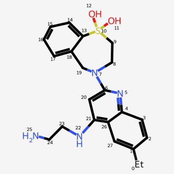 CCc1ccc2nc(N3CCS(O)(O)c4ccccc4C3)cc(NCCN)c2c1